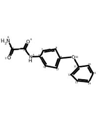 NC(=O)C(=O)Nc1ccc(Oc2ccccc2)cc1